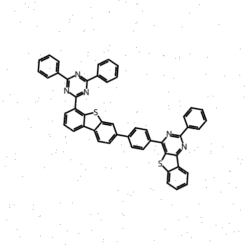 c1ccc(-c2nc(-c3ccccc3)nc(-c3cccc4c3sc3cc(-c5ccc(-c6nc(-c7ccccc7)nc7c6sc6ccccc67)cc5)ccc34)n2)cc1